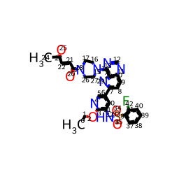 CCOc1ncc(-c2ccc3ncnc(N4CCN(C(=O)/C=C/C(C)=O)CC4)c3n2)cc1NS(=O)(=O)c1ccccc1F